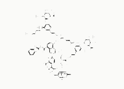 COCCN(CCOC12CC3(C)CC(C)(CC(Cn4ncc(-c5ccc(N6CCc7c(OC)ccc(C(=O)Nc8nc9ccccc9s8)c7C6)nc5C(=O)O)c4C)(C3)C1)C2)C(=O)OCC=Cc1ccc(O[C@@H]2O[C@H](C(=O)O)[C@@H](O)[C@H](O)[C@H]2O)c(NC(=O)CCNC(=O)OCC=Cc2ccc(O[C@@H]3O[C@H](C(=O)O)[C@@H](O)[C@H](O)[C@H]3O)c(NC(=O)CCN)c2)c1